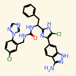 Nc1n[nH]c2cc(-c3nc(C(Cc4ccccc4)NC(=O)NCc4cc(Cl)ccc4-n4cncn4)[nH]c3Cl)ccc12